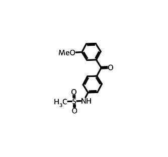 COc1cccc(C(=O)c2ccc(NS(C)(=O)=O)cc2)c1